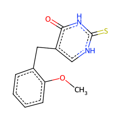 COc1ccccc1Cc1c[nH]c(=S)[nH]c1=O